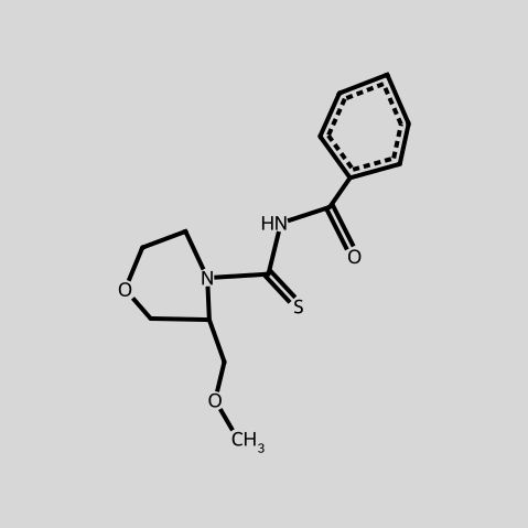 COCC1COCCN1C(=S)NC(=O)c1ccccc1